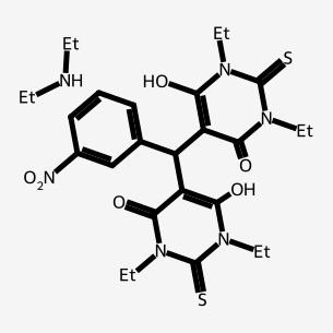 CCNCC.CCn1c(O)c(C(c2cccc([N+](=O)[O-])c2)c2c(O)n(CC)c(=S)n(CC)c2=O)c(=O)n(CC)c1=S